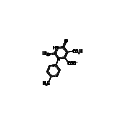 Cc1ccc(-n2c(C(=O)[O-])c(C(=O)O)c(=O)[nH]c2=O)cc1.[Li+]